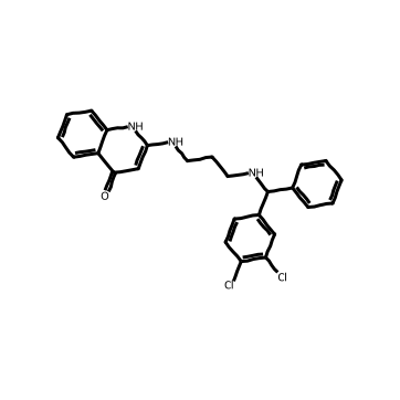 O=c1cc(NCCCNC(c2ccccc2)c2ccc(Cl)c(Cl)c2)[nH]c2ccccc12